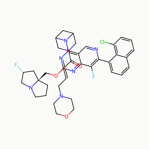 O=C(/C=C/CN1CCOCC1)N1CC2CC(C1)N2c1nc(OC[C@@]23CCCN2C[C@H](F)C3)nc2c(F)c(-c3cccc4cccc(Cl)c34)ncc12